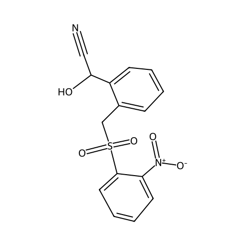 N#CC(O)c1ccccc1CS(=O)(=O)c1ccccc1[N+](=O)[O-]